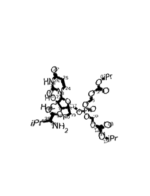 CC(C)OC(=O)OCOP(=O)(OCOC(=O)OC(C)C)OC[C@@]1(CF)OC(n2ccc(=O)[nH]c2=O)[C@](C)(O)[C@@H]1OC(=O)C(N)C(C)C